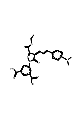 CCOC(=O)C1=NN(c2cc(C(=O)O)cc(C(=O)O)c2)C(=O)C1=CC=Cc1ccc(N(C)C)cc1